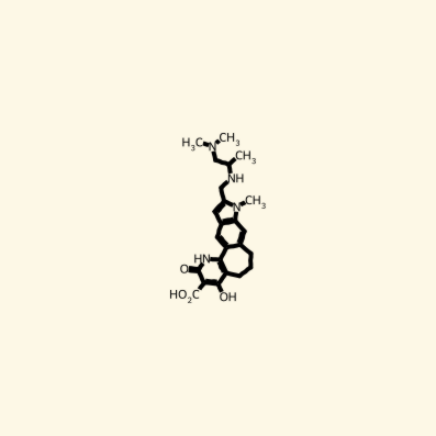 CC(CN(C)C)NCc1cc2cc3c(cc2n1C)CCCc1c-3[nH]c(=O)c(C(=O)O)c1O